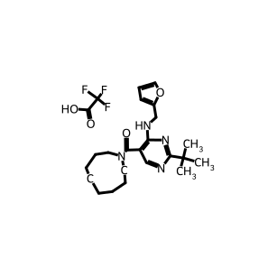 CC(C)(C)c1ncc(C(=O)N2CCCCCCCC2)c(NCc2ccco2)n1.O=C(O)C(F)(F)F